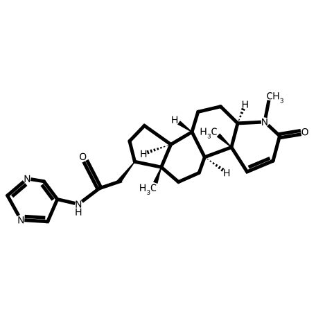 CN1C(=O)C=C[C@]2(C)[C@H]3CC[C@]4(C)[C@@H](CC(=O)Nc5cncnc5)CC[C@H]4[C@@H]3CC[C@@H]12